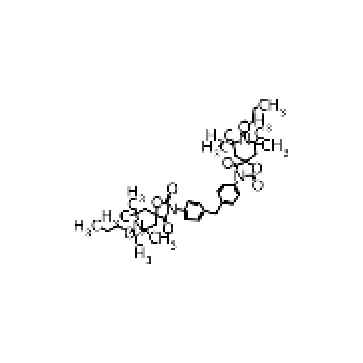 CCCON1C(C)(C)CC2(CC1(C)C)OC(=O)N(c1ccc(Cc3ccc(N4C(=O)OC5(CC(C)(C)N(OCCC)C(C)(C)C5)C4=O)cc3)cc1)C2=O